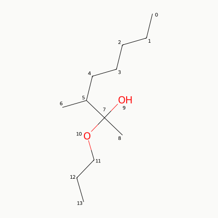 CCCCCC(C)C(C)(O)OCCC